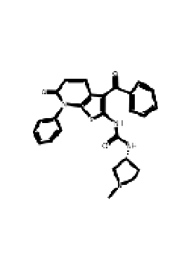 CN1CC[C@@H](NC(=O)Nc2sc3c(ccc(=O)n3-c3ccccc3)c2C(=O)c2ccccc2)C1